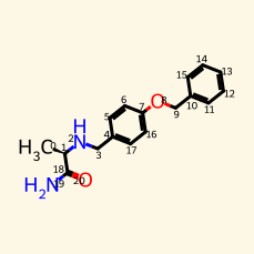 C[C@@H](NCc1ccc(OCc2ccccc2)cc1)C(N)=O